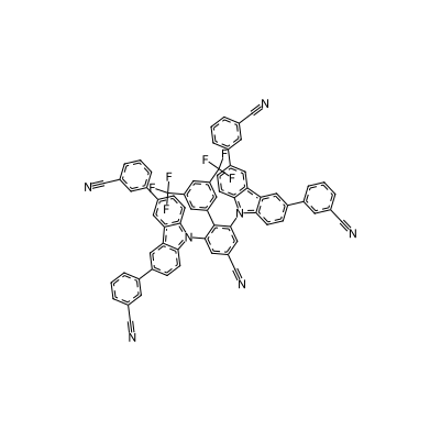 N#Cc1cccc(-c2ccc3c(c2)c2cc(-c4cccc(C#N)c4)ccc2n3-c2cc(C#N)cc(-n3c4ccc(-c5cccc(C#N)c5)cc4c4cc(-c5cccc(C#N)c5)ccc43)c2-c2cc(C(F)(F)F)cc(C(F)(F)F)c2)c1